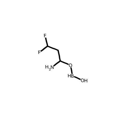 NC(CC(F)F)OBO